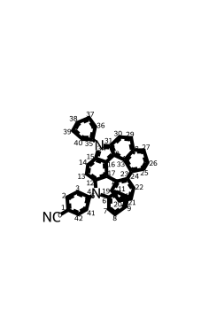 N#Cc1ccc(N(c2ccccc2)c2ccc3c4c2-c2ccccc2-c2cccc5ccc(c4c25)n3-c2ccccc2)cc1